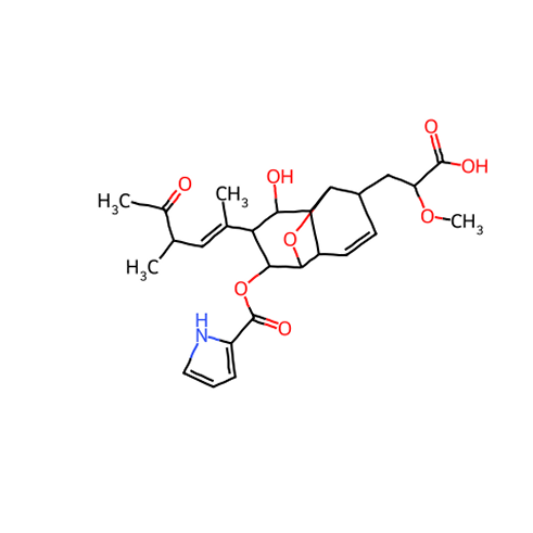 COC(CC1C=CC2C3OC1C2C(O)C(/C(C)=C/C(C)C(C)=O)C3OC(=O)c1ccc[nH]1)C(=O)O